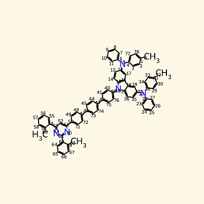 Cc1ccc(N(c2ccccc2)c2ccc3c(c2)c2cc(N(c4ccccc4)c4ccc(C)cc4)ccc2n3-c2ccc(-c3ccc(-c4ccc(-c5cc(-c6ccccc6C)nc(-c6ccccc6C)n5)cc4)cc3)cc2)cc1